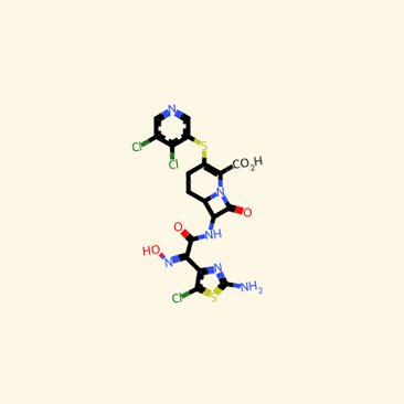 Nc1nc(/C(=N/O)C(=O)NC2C(=O)N3C(C(=O)O)=C(Sc4cncc(Cl)c4Cl)CCC23)c(Cl)s1